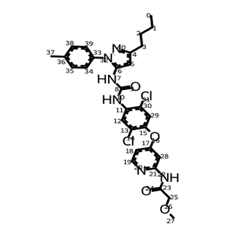 CCCCc1cc(NC(=O)Nc2cc(Cl)c(Oc3ccnc(NC(=O)COC)c3)cc2Cl)n(-c2ccc(C)cc2)n1